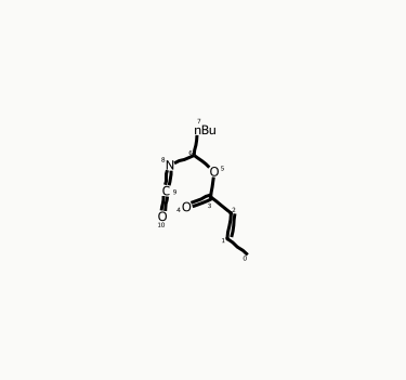 CC=CC(=O)OC(CCCC)N=C=O